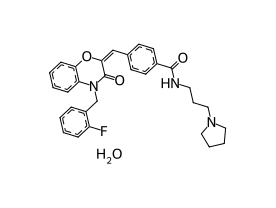 O.O=C(NCCCN1CCCC1)c1ccc(C=C2Oc3ccccc3N(Cc3ccccc3F)C2=O)cc1